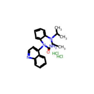 CCN(c1ccccc1N(C(N)=O)c1ccnc2ccccc12)C(C)C.Cl.Cl